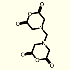 O=C1CN(CN2CC(=O)OC(=O)C2)CC(=O)O1